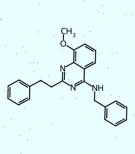 COc1cccc2c(NCc3ccccc3)nc(CCc3ccccc3)nc12